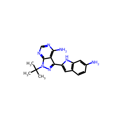 CC(C)(C)n1nc(-c2cc3ccc(N)cc3[nH]2)c2c(N)ncnc21